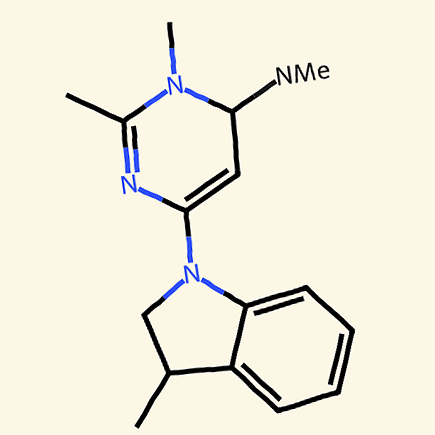 CNC1C=C(N2CC(C)c3ccccc32)N=C(C)N1C